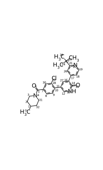 CC1CCN(C(=O)c2ccc(-c3c[nH]c(=O)c(-c4ccnc(C(C)(C)C)c4)c3)c(Cl)c2)CC1